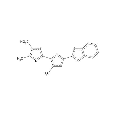 Cc1cc(-c2cc3ccccc3s2)sc1-c1nc(C)c(C(=O)O)s1